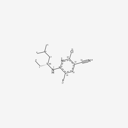 CC[C@H](CC(C)C)Nc1nc(Cl)c(C#N)cc1F